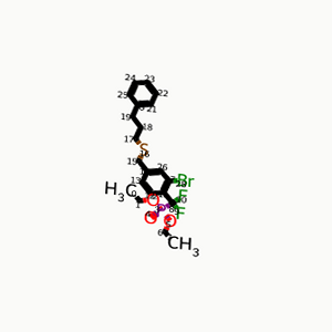 CCOP(=O)(OCC)C(F)(F)c1ccc(CSCCCc2ccccc2)cc1Br